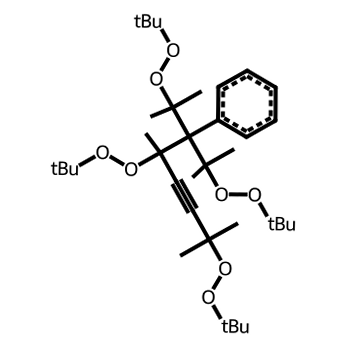 CC(C)(C)OOC(C)(C)C#CC(C)(OOC(C)(C)C)C(c1ccccc1)(C(C)(C)OOC(C)(C)C)C(C)(C)OOC(C)(C)C